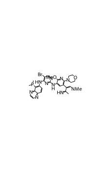 CN/C=C(\C(C)=N)c1cc(Nc2ncc(Br)c(Nc3ccc4nccnc4c3P(C)C)n2)c(OC)nc1N1CCOCC1